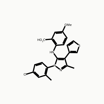 COc1ccc(Nc2c(-c3ccsc3)c(C)nn2-c2ccc(Cl)cc2C)c(C(=O)O)c1